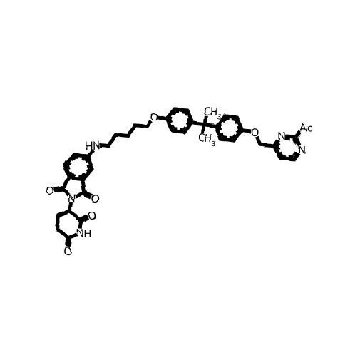 CC(=O)c1nccc(COc2ccc(C(C)(C)c3ccc(OCCCCCNc4ccc5c(c4)C(=O)N(C4CCC(=O)NC4=O)C5=O)cc3)cc2)n1